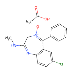 CC(=O)O.CNC1=Nc2ccc(Cl)cc2C(c2ccccc2)=[N+]([O-])C1